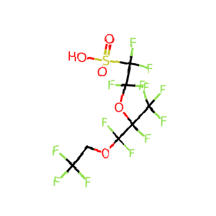 O=S(=O)(O)C(F)(F)C(F)(F)OC(F)(C(F)(F)F)C(F)(F)OCC(F)(F)F